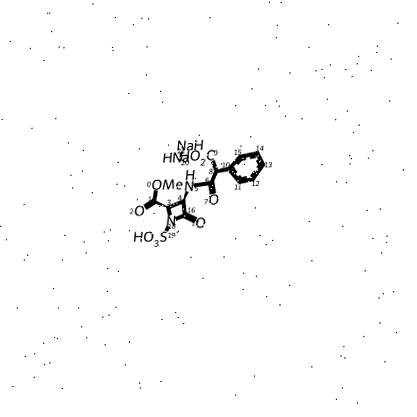 COC(=O)[C@H]1[C@@H](NC(=O)C(C(=O)O)c2ccccc2)C(=O)N1S(=O)(=O)O.[NaH].[NaH]